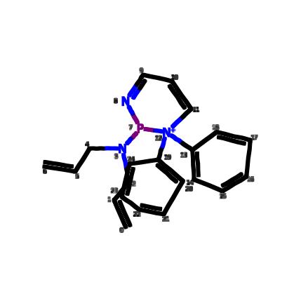 C=CCN(CC=C)P1N=CC=C[N+]1(c1ccccc1)c1ccccc1